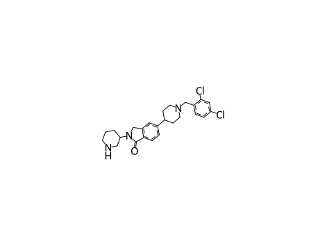 O=C1c2ccc(C3CCN(Cc4ccc(Cl)cc4Cl)CC3)cc2CN1C1CCCNC1